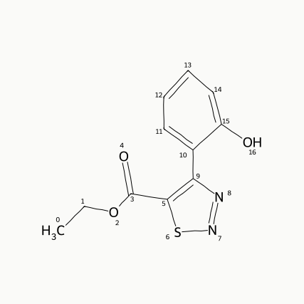 CCOC(=O)c1snnc1-c1ccccc1O